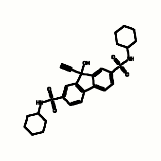 C#CC1(O)c2cc(S(=O)(=O)NC3CCCCC3)ccc2-c2ccc(S(=O)(=O)NC3CCCCC3)cc21